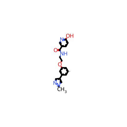 Cn1cc(-c2c[c]cc(OCCNC(=O)c3ccc(O)nc3)c2)cn1